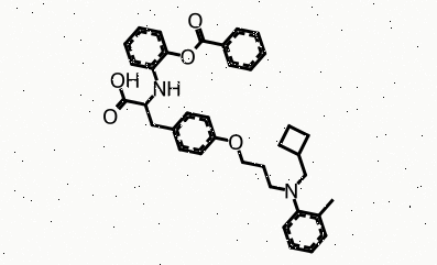 Cc1ccccc1N(CCCOc1ccc(CC(Nc2ccccc2OC(=O)c2ccccc2)C(=O)O)cc1)CC1CCC1